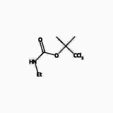 CCNC(=O)OC(C)(C)C(Cl)(Cl)Cl